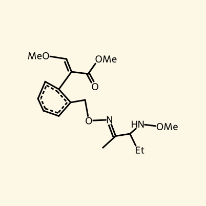 CCC(NOC)/C(C)=N/OCc1ccccc1/C(=C\OC)C(=O)OC